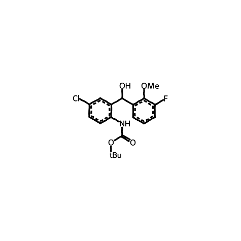 COc1c(F)cccc1C(O)c1cc(Cl)ccc1NC(=O)OC(C)(C)C